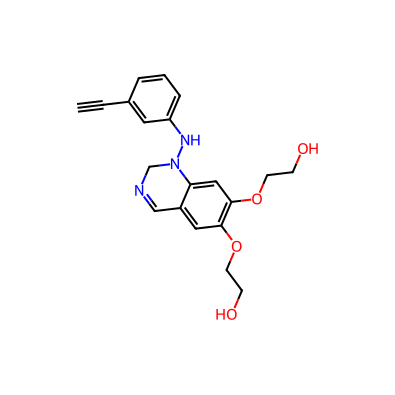 C#Cc1cccc(NN2CN=Cc3cc(OCCO)c(OCCO)cc32)c1